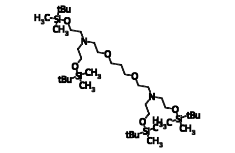 CC(C)(C)[Si](C)(C)OCCN(CCOCCCOCCN(CCO[Si](C)(C)C(C)(C)C)CCO[Si](C)(C)C(C)(C)C)CCO[Si](C)(C)C(C)(C)C